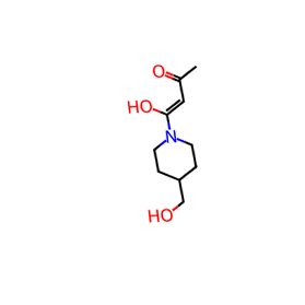 CC(=O)/C=C(\O)N1CCC(CO)CC1